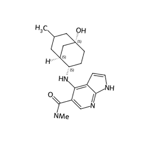 CNC(=O)c1cnc2[nH]ccc2c1N[C@H]1CC[C@]2(O)CC(C)C[C@H]1C2